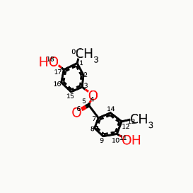 Cc1cc(OC(=O)c2ccc(O)c(C)c2)ccc1O